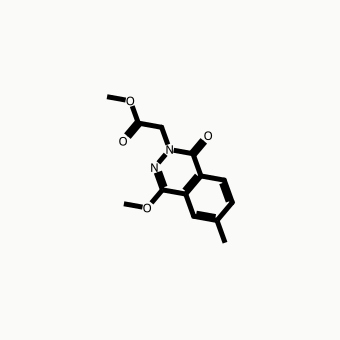 COC(=O)Cn1nc(OC)c2cc(C)ccc2c1=O